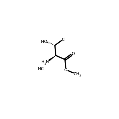 COC(=O)[C@@H](N)[C@H](O)Cl.Cl